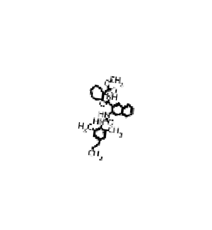 CCCc1cc(C)c(NC(=O)Nc2cc3ccccc3cc2C(=O)NC2(C(=O)OC)CCCCCC2)c(C)c1